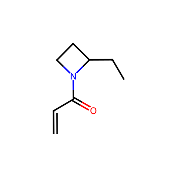 C=CC(=O)N1CCC1CC